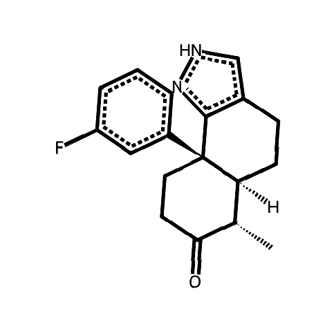 C[C@@H]1C(=O)CC[C@]2(c3cccc(F)c3)c3n[nH]cc3CC[C@@H]12